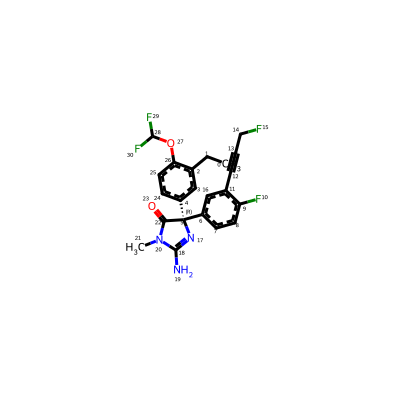 CCc1cc([C@]2(c3ccc(F)c(C#CCF)c3)N=C(N)N(C)C2=O)ccc1OC(F)F